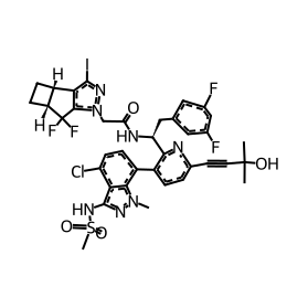 Cn1nc(NS(C)(=O)=O)c2c(Cl)ccc(-c3ccc(C#CC(C)(C)O)nc3[C@H](Cc3cc(F)cc(F)c3)NC(=O)Cn3nc(I)c4c3C(F)(F)[C@@H]3CC[C@H]43)c21